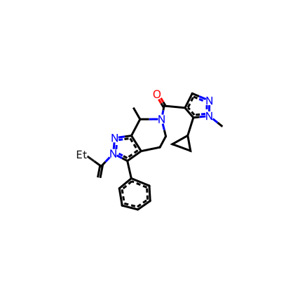 C=C(CC)n1nc2c(c1-c1ccccc1)CCN(C(=O)c1cnn(C)c1C1CC1)C2C